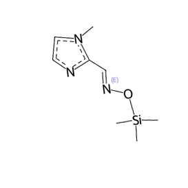 Cn1ccnc1/C=N/O[Si](C)(C)C